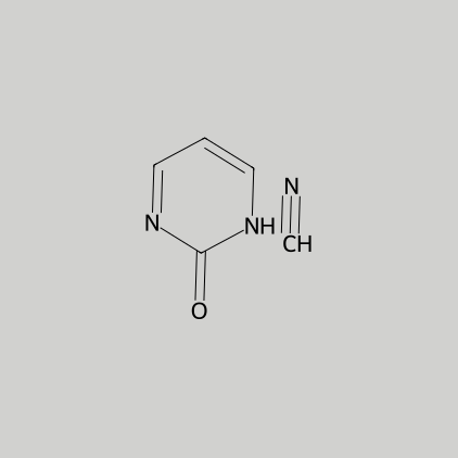 C#N.O=c1nccc[nH]1